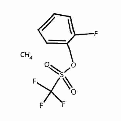 C.O=S(=O)(Oc1ccccc1F)C(F)(F)F